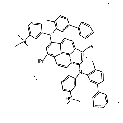 Cc1ccc(-c2ccccc2)cc1N(c1cccc([SiH](C)C)c1)c1cc(C(C)C)c2ccc3c(N(c4cccc([Si](C)(C)C)c4)c4cc(-c5ccccc5)ccc4C)cc(C(C)C)c4ccc1c2c43